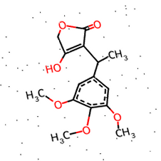 COc1cc(C(C)C2=C(O)COC2=O)cc(OC)c1OC